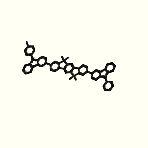 Cc1ccc(-n2c3ccccc3c3cc(-c4ccc5c(c4)C(C)(C)c4cc6c(cc4-5)C(C)(C)c4cc(-c5ccc7c(c5)c5ccccc5n7-c5ccccc5)ccc4-6)ccc32)cc1